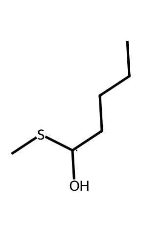 CCCC[C](O)SC